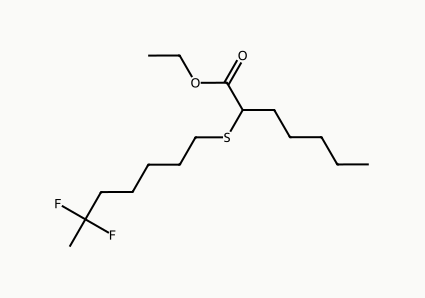 CCCCCC(SCCCCCC(C)(F)F)C(=O)OCC